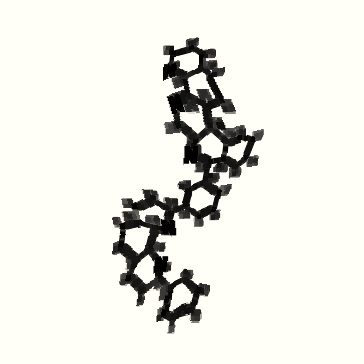 c1ccc(-c2ccc3ccc4ccc(-c5cccc(-c6nc7cnc8c(ccc9cccnc98)c7c7ccccc67)c5)nc4c3n2)cc1